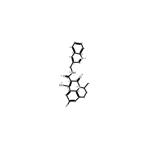 CC1CCc2cc(F)cc3c(O)c(C(=O)NCc4cnc5ccccc5c4)c(=O)n1c23